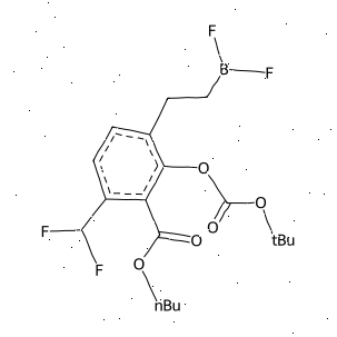 CCCCOC(=O)c1c(C(F)F)ccc(CCB(F)F)c1OC(=O)OC(C)(C)C